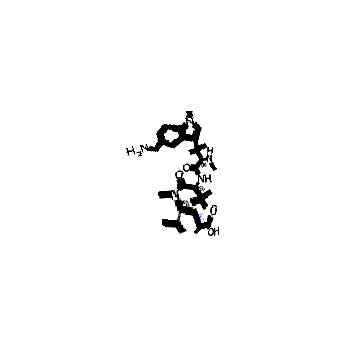 CN[C@@H](C(=O)N[C@H](C(=O)N(C)[C@H](/C=C(\C)C(=O)O)C(C)C)C(C)(C)C)C(C)(C)c1cn(C)c2ccc(CN)cc12